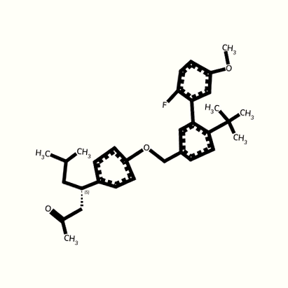 COc1ccc(F)c(-c2cc(COc3ccc([C@H](CC(C)=O)CC(C)C)cc3)ccc2C(C)(C)C)c1